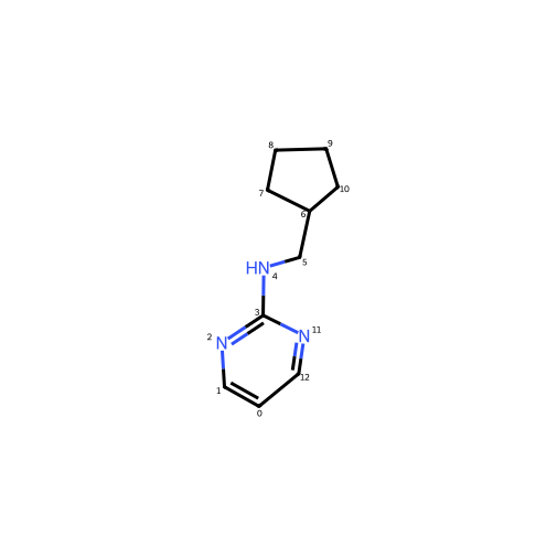 c1cnc(NCC2CCCC2)nc1